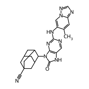 Cc1cc2ncnn2cc1Nc1ncc2[nH]c(=O)n(C3C4CC5CC3CC(C#N)(C5)C4)c2n1